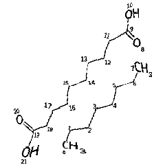 CCCCCCCC.O=C(O)CCCCCCCCC(=O)O